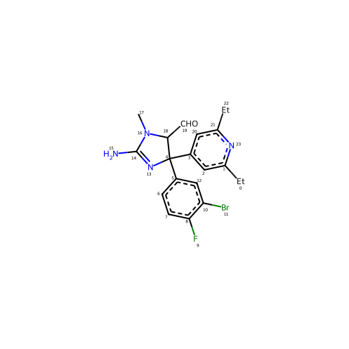 CCc1cc(C2(c3ccc(F)c(Br)c3)N=C(N)N(C)C2C=O)cc(CC)n1